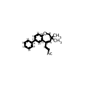 CC(=O)C=CC1=CC(C)(C)COc2ccc(-c3ccccc3)cc21